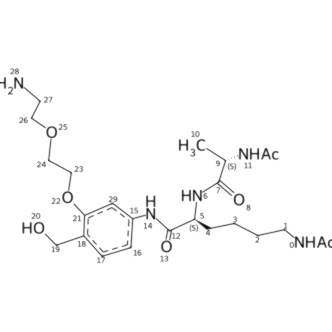 CC(=O)NCCCC[C@H](NC(=O)[C@H](C)NC(C)=O)C(=O)Nc1ccc(CO)c(OCCOCCN)c1